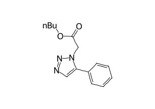 CCCCOC(=O)Cn1nncc1-c1ccccc1